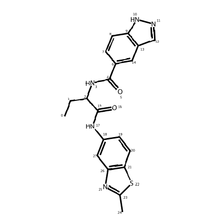 CCC(NC(=O)c1ccc2[nH]ncc2c1)C(=O)Nc1ccc2sc(C)nc2c1